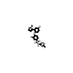 Cc1nnc(NS(=O)(=O)c2ccc(Oc3ccc(Cl)cc3-c3ccnn3C)c(F)c2)s1